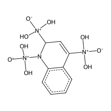 [O-][N+](O)(O)C1=CC([N+]([O-])(O)O)N([N+]([O-])(O)O)c2ccccc21